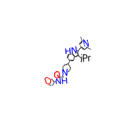 Cc1cc(-c2[nH]c3ccc(C4CCN(CC(=O)NC5CCOC5)CC4)cc3c2C(C)C)cc(C)n1